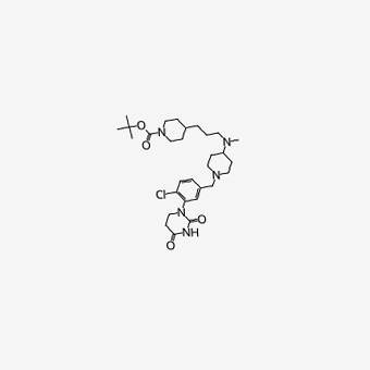 CN(CCCC1CCN(C(=O)OC(C)(C)C)CC1)C1CCN(Cc2ccc(Cl)c(N3CCC(=O)NC3=O)c2)CC1